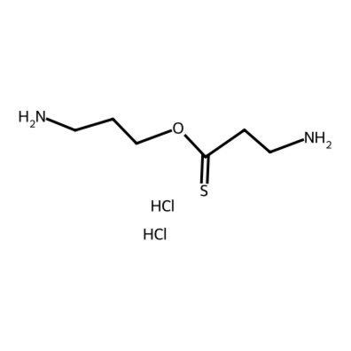 Cl.Cl.NCCCOC(=S)CCN